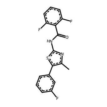 Cc1nc(NC(=O)c2c(F)cccc2F)sc1-c1cccc(F)c1